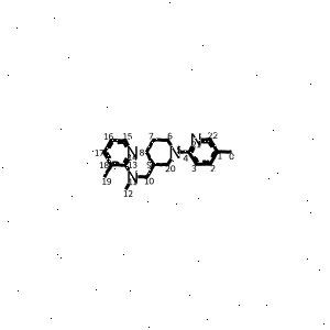 Cc1ccc(N2CCCC(CN(C)c3ncccc3C)C2)nc1